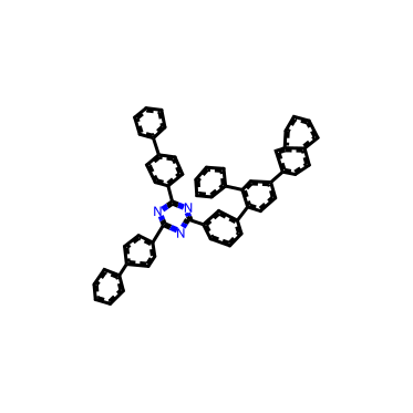 c1ccc(-c2ccc(-c3nc(-c4ccc(-c5ccccc5)cc4)nc(-c4cccc(-c5ccc(-c6ccc7ccccc7c6)cc5-c5ccccc5)c4)n3)cc2)cc1